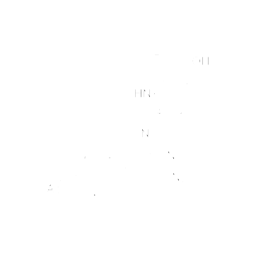 CCC(CO)Nc1ccn2ncc(-c3ccc(C(C)=O)cc3)c2n1